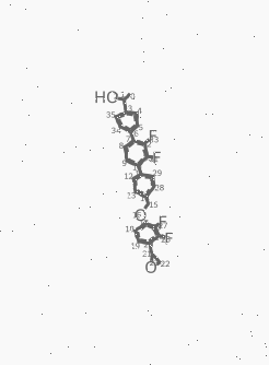 CC(O)c1ccc(-c2ccc(-c3ccc(COc4ccc(C5CO5)c(F)c4F)cc3)c(F)c2F)cc1